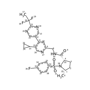 C[C@H]1CC[C@@H](C(=O)NCc2cc(-c3cnc(C(C)(F)F)nc3)c(C3CC3)cn2)N1S(=O)(=O)c1ccc(F)cc1